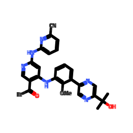 CCC(=O)c1cnc(Nc2cccc(C#N)n2)cc1Nc1cccc(-c2cnc(C(C)(C)O)cn2)c1OC